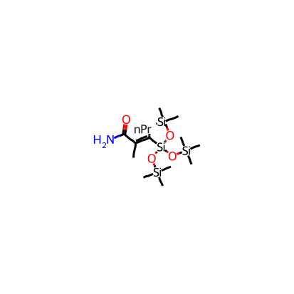 CCC/C(=C(/C)C(N)=O)[Si](O[Si](C)(C)C)(O[Si](C)(C)C)O[Si](C)(C)C